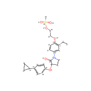 CCc1cc(N2CCC(Oc3ccc(C4CC4)cc3)C2=O)ccc1OCCOS(C)(=O)=O